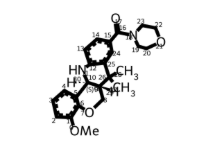 COc1cccc2c1OC[C@@H]1[C@@H]2Nc2ccc(C(=O)N3CCOCC3)cc2C1(C)C